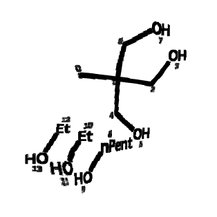 CC(CO)(CO)CO.CCCCCO.CCO.CCO